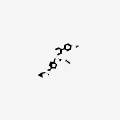 CC(C)(OC(=O)N(CC12CCC(c3noc(C4(F)CC4)n3)(CC1)C2)c1cc(-c2ccc(OC(F)F)cc2)ccn1)C(F)(F)F